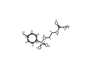 CCCC(=O)OCCOS(=O)(=O)c1ccc(C)cc1